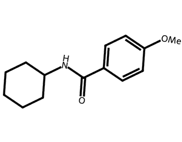 COc1ccc(C(=O)NC2CCCCC2)cc1